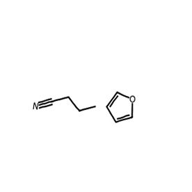 CCCC#N.c1ccoc1